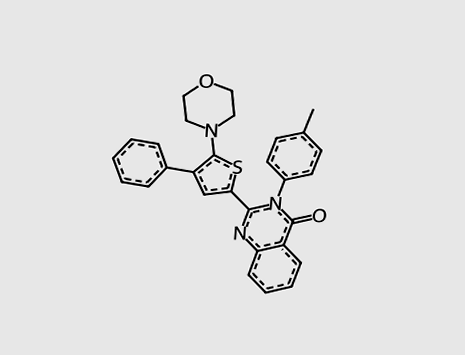 Cc1ccc(-n2c(-c3cc(-c4ccccc4)c(N4CCOCC4)s3)nc3ccccc3c2=O)cc1